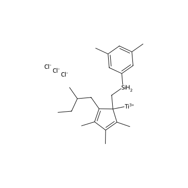 CCC(C)CC1=C(C)C(C)=C(C)[C]1([Ti+3])C[SiH2]c1cc(C)cc(C)c1.[Cl-].[Cl-].[Cl-]